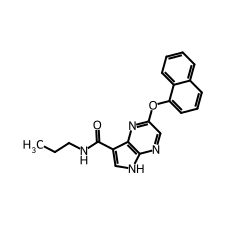 CCCNC(=O)c1c[nH]c2ncc(Oc3cccc4ccccc34)nc12